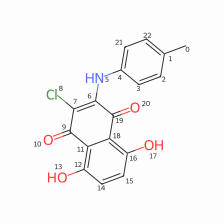 Cc1ccc(NC2=C(Cl)C(=O)c3c(O)ccc(O)c3C2=O)cc1